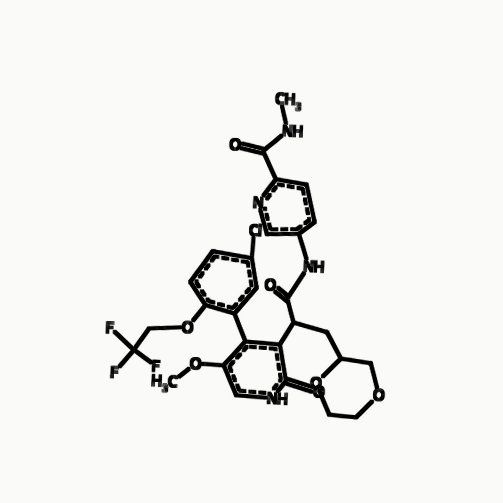 CNC(=O)c1ccc(NC(=O)C(CC2COCCO2)c2c(-c3cc(Cl)ccc3OCC(F)(F)F)c(OC)c[nH]c2=O)cn1